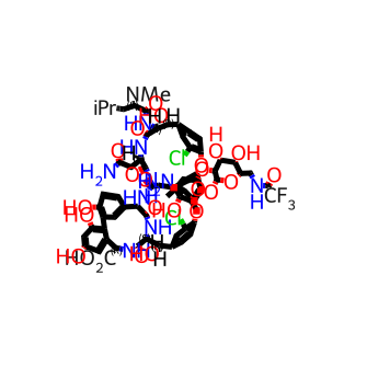 CN[C@@H](CC(C)C)C(=O)N[C@H]1C(=O)N[C@@H](CC(N)=O)C(=O)NC2C(=O)NC3C(=O)N[C@H](C(=O)N[C@@H](C(=O)O)c4cc(O)cc(O)c4-c4cc3ccc4O)[C@H](O)c3ccc(c(Cl)c3)Oc3cc2cc(c3OC2OC(CNC(=O)C(F)(F)F)C(O)C(O)C2OC2CC(C)(N)C(O)C(C)O2)Oc2ccc(cc2Cl)[C@H]1O